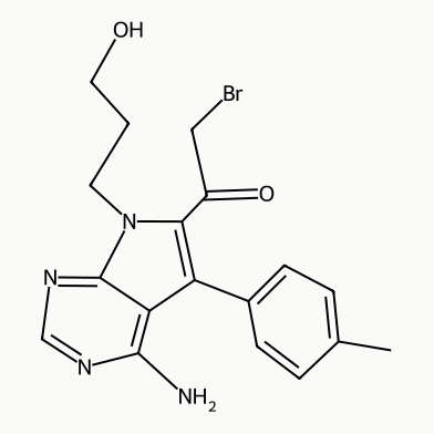 Cc1ccc(-c2c(C(=O)CBr)n(CCCO)c3ncnc(N)c23)cc1